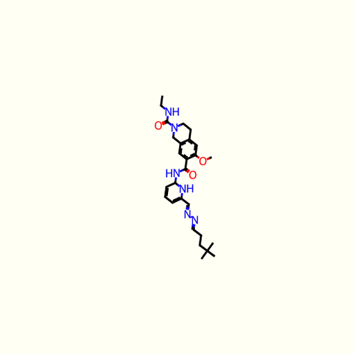 CCNC(=O)N1CCc2cc(OC)c(C(=O)NC3C=CC=C(/C=N/N=C/CCC(C)(C)C)N3)cc2C1